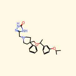 CC(C)Oc1cccc(C(C)OCC2(c3ccccc3)CCN(Cc3n[nH]c(=O)[nH]3)CC2)c1